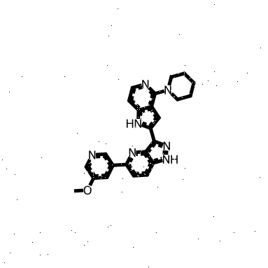 COc1cncc(-c2ccc3[nH]nc(-c4cc5c(N6CCCCC6)nccc5[nH]4)c3n2)c1